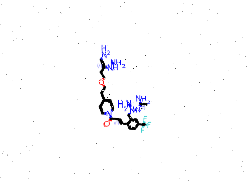 C/C(N)=N/N(N)Cc1cc(C(F)(F)F)ccc1/C=C/C(=O)N1CCC(CCOCC/C(=C/N)NN)CC1